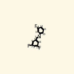 Fc1cc(F)cc(/C=N/c2cccc(F)c2)c1